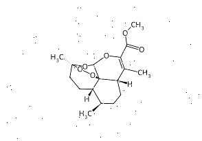 COC(=O)C1=C(C)[C@@H]2CC[C@@H](C)[C@@H]3CC[C@]4(C)OO[C@@]23C(O1)O4